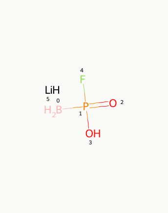 BP(=O)(O)F.[LiH]